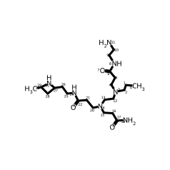 CCCN(CCC(=O)NCCN)CCN(CCC(N)=O)CCC(=O)NCCC1CC(C)N1